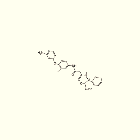 COC(=O)[C@@H](NC(=O)CC(=O)Nc1ccc(Oc2ccnc(N)c2)c(F)c1)c1ccccc1